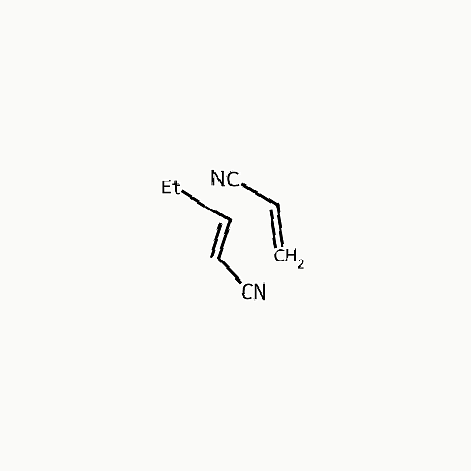 C=CC#N.CCC=CC#N